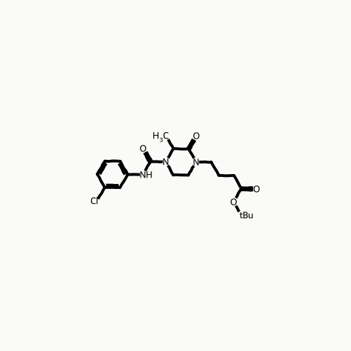 CC1C(=O)N(CCCC(=O)OC(C)(C)C)CCN1C(=O)Nc1cccc(Cl)c1